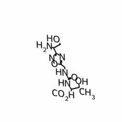 CC(O)C(NC(=O)NCc1nc(C(N)CO)no1)C(=O)O